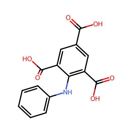 O=C(O)c1cc(C(=O)O)c(Nc2ccccc2)c(C(=O)O)c1